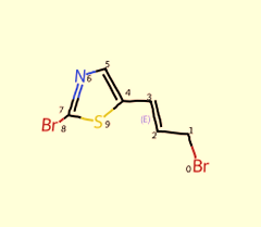 BrC/C=C/c1cnc(Br)s1